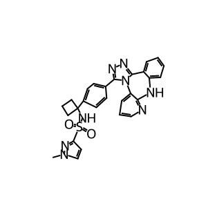 Cn1ccc(S(=O)(=O)NC2(c3ccc(-c4nnc5n4-c4cccnc4Nc4ccccc4-5)cc3)CCC2)n1